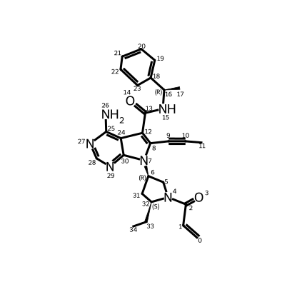 C=CC(=O)N1C[C@H](n2c(C#CC)c(C(=O)N[C@H](C)c3ccccc3)c3c(N)ncnc32)C[C@@H]1CC